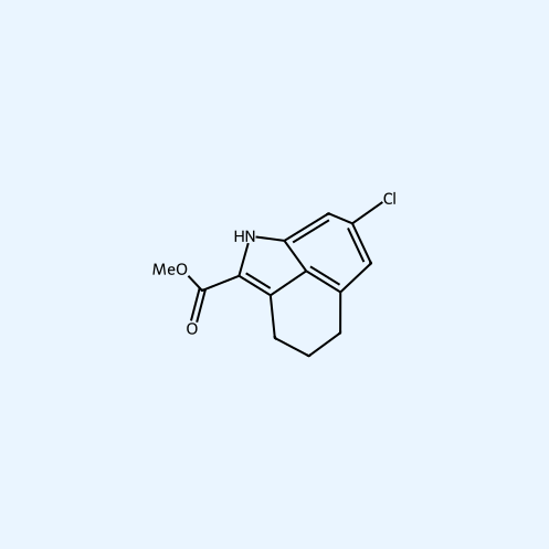 COC(=O)c1[nH]c2cc(Cl)cc3c2c1CCC3